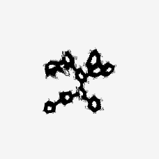 c1ccc(-c2ccc(-c3nc(-c4ccccc4)cc(-c4cc(-c5cc6ccccc6c6ccccc56)cc(-c5ccnc6c5oc5ccccc56)c4)n3)cc2)cc1